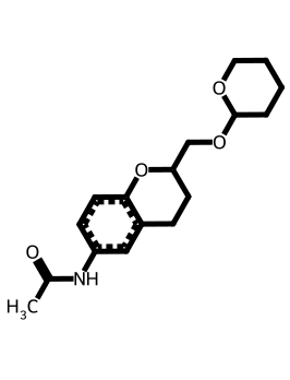 CC(=O)Nc1ccc2c(c1)CCC(COC1CCCCO1)O2